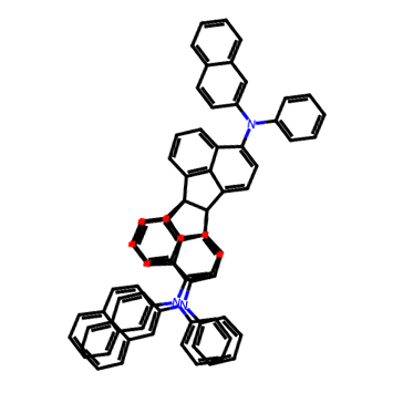 c1ccc(N(c2ccc3ccccc3c2)c2ccc3c4c(cccc24)C24c5cccc6c(N(c7ccccc7)c7ccc8ccccc8c7)ccc(c56)C32c2ccc(N(c3ccccc3)c3ccc5ccccc5c3)c3cccc4c23)cc1